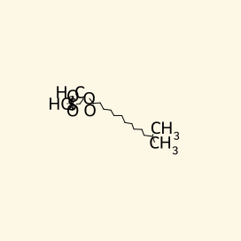 CC(C)CCCCCCCCCCC(=O)OC(C)CS(=O)(=O)O